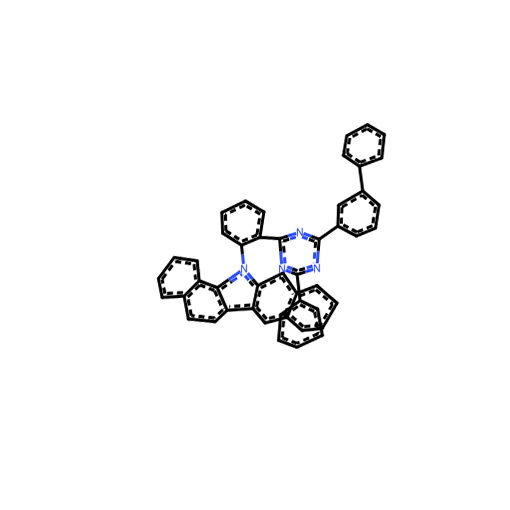 c1ccc(-c2cccc(-c3nc(-c4ccccc4)nc(-c4ccccc4-n4c5cc6ccccc6cc5c5ccc6ccccc6c54)n3)c2)cc1